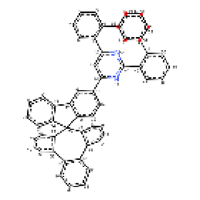 c1ccc(-c2ccccc2-c2cc(-c3ccc4c(c3)-c3ccccc3C43c4ccccc4-c4ccccc4-c4ccccc43)nc(-c3ccccc3-c3ccccc3)n2)cc1